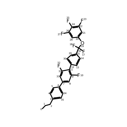 CCCc1ccc(-c2cc(F)c(-c3ccc(C(F)(F)Oc4cc(F)c(F)c(F)c4)cc3)c(F)c2)cc1